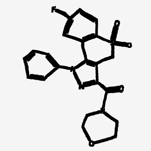 O=C(c1nn(-c2ccccc2)c2c1CS(=O)(=O)c1ccc(F)cc1-2)N1CCOCC1